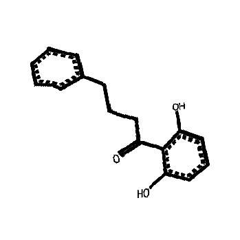 O=C(CCCc1ccccc1)c1c(O)cccc1O